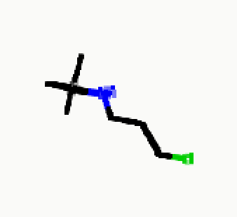 C[Si](C)(C)NCCCCl